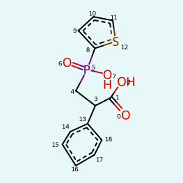 O=C(O)C(CP(=O)(O)c1cccs1)c1ccccc1